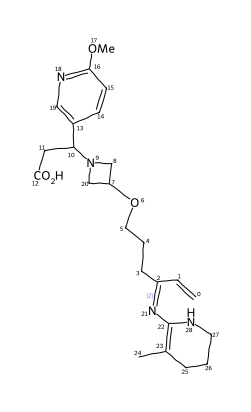 C=C/C(CCCOC1CN(C(CC(=O)O)c2ccc(OC)nc2)C1)=N\C1=C(C)CCCN1